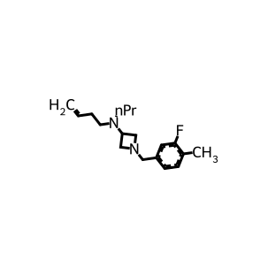 C=CCCN(CCC)C1CN(Cc2ccc(C)c(F)c2)C1